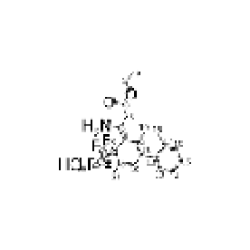 CCOC(=O)CC(N)C1C(C)=C(c2ccccc2C)C=C(C)C1(F)C(F)(F)F.Cl